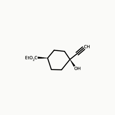 C#C[C@]1(O)CC[C@@H](C(=O)OCC)CC1